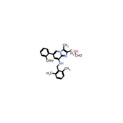 COc1ccccc1-c1cc(NCc2c(C)cccc2C)c2nc(C)c(C)n2c1.O=CO